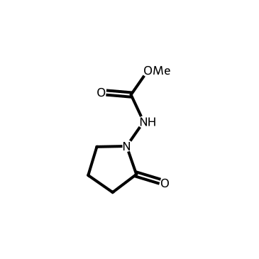 COC(=O)NN1CCCC1=O